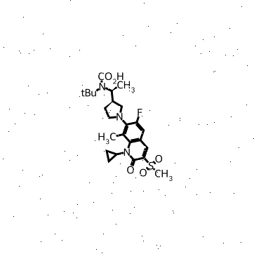 Cc1c(N2CC[C@@H]([C@H](C)N(C(=O)O)C(C)(C)C)C2)c(F)cc2cc(S(C)(=O)=O)c(=O)n(C3CC3)c12